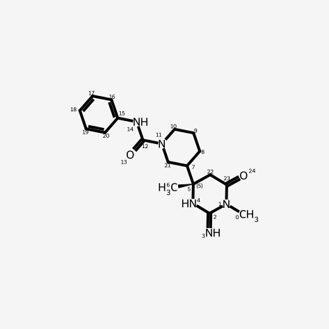 CN1C(=N)N[C@](C)(C2CCCN(C(=O)Nc3ccccc3)C2)CC1=O